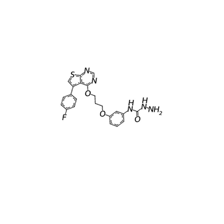 NNC(=O)Nc1cccc(OCCCOc2ncnc3scc(-c4ccc(F)cc4)c23)c1